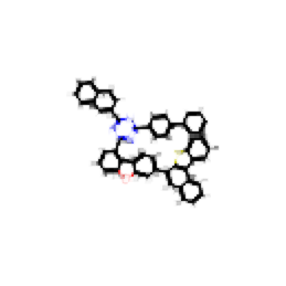 c1ccc(-c2ccc(-c3nc(-c4ccc5ccccc5c4)nc(-c4cccc5oc6cc(-c7cc8ccccc8c8c7sc7ccccc78)ccc6c45)n3)cc2)cc1